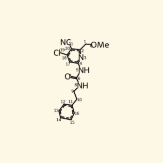 COCc1nc(NC(=O)NCCc2ccccc2)cc(Cl)c1C#N